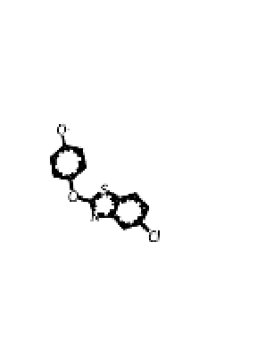 [O]c1ccc(Oc2nc3cc(Cl)ccc3s2)cc1